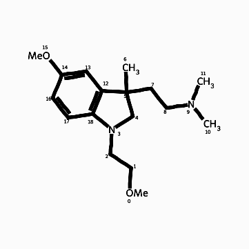 COCCN1CC(C)(CCN(C)C)c2cc(OC)ccc21